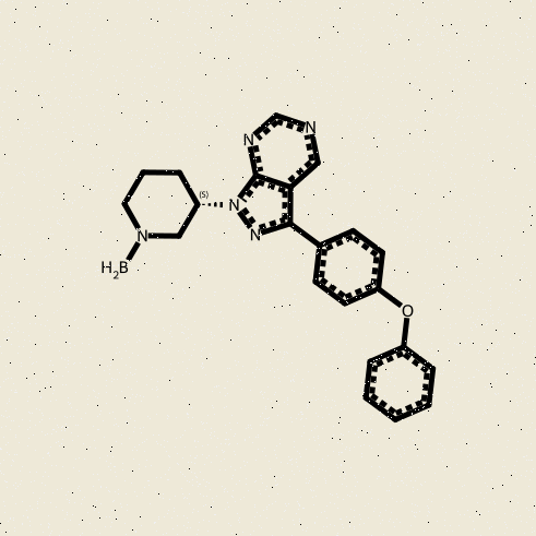 BN1CCC[C@H](n2nc(-c3ccc(Oc4ccccc4)cc3)c3cncnc32)C1